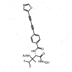 CC(=O)NC(C)(C(F)F)[C@H](NC(=O)c1ccc(C#CC#Cc2cnco2)cc1)C(=O)NO